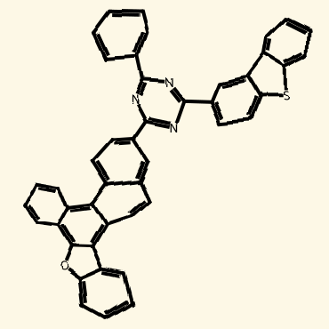 c1ccc(-c2nc(-c3ccc4c(ccc5c4c4ccccc4c4oc6ccccc6c54)c3)nc(-c3ccc4sc5ccccc5c4c3)n2)cc1